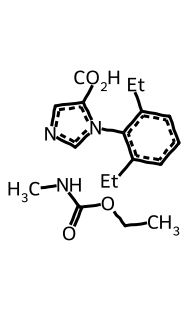 CCOC(=O)NC.CCc1cccc(CC)c1-n1cncc1C(=O)O